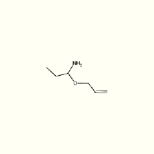 C=CCOC(N)CC